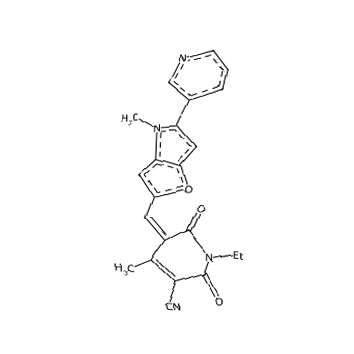 CCN1C(=O)C(C#N)=C(C)/C(=C/c2cc3c(cc(-c4cccnc4)n3C)o2)C1=O